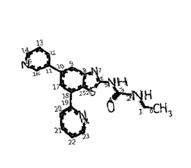 CCNC(=O)Nc1nc2cc(-c3cccnc3)cc(-c3ccccn3)c2s1